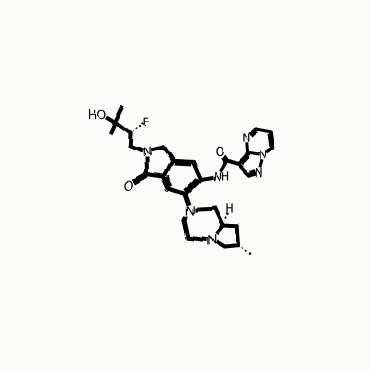 C[C@H]1C[C@@H]2CN(c3cc4c(cc3NC(=O)c3cnn5cccnc35)CN(C[C@@H](F)C(C)(C)O)C4=O)CCN2C1